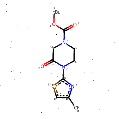 CC(C)(C)OC(=O)N1CCN(c2nc(C(F)(F)F)cs2)C(=O)C1